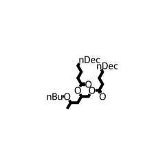 CCCCCCCCCCCCCC(=O)OCC(CC(C)OCCCC)OC(=O)CCCCCCCCCCCCC